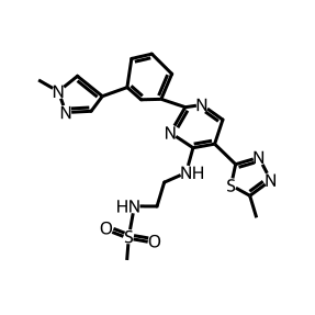 Cc1nnc(-c2cnc(-c3cccc(-c4cnn(C)c4)c3)nc2NCCNS(C)(=O)=O)s1